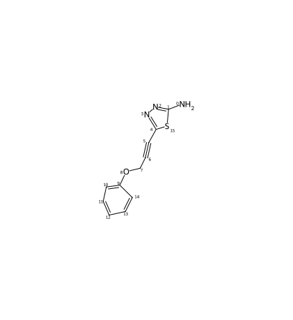 Nc1nnc(C#CCOc2ccccc2)s1